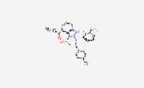 COC(=O)c1cccc2c1c1c(n2Cc2ccccc2C)CC(c2ccc(Cl)cc2)CC1=O